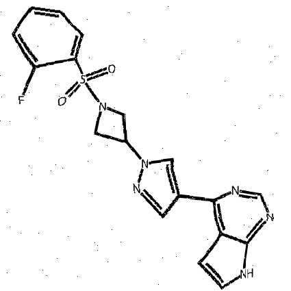 O=S(=O)(c1ccccc1F)N1CC(n2cc(-c3ncnc4[nH]ccc34)cn2)C1